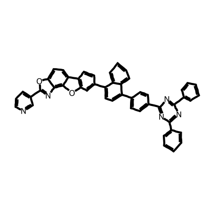 c1ccc(-c2nc(-c3ccccc3)nc(-c3ccc(-c4ccc(-c5ccc6c(c5)oc5c6ccc6oc(-c7cccnc7)nc65)c5ccccc45)cc3)n2)cc1